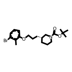 Cc1c(Br)cccc1OCCC[C@H]1CCCN(C(=O)OC(C)(C)C)C1